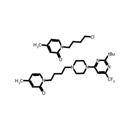 Cc1ccn(CCCCCl)c(=O)c1.Cc1ccn(CCCCN2CCN(c3cc(C(F)(F)F)nc(C(C)(C)C)n3)CC2)c(=O)c1